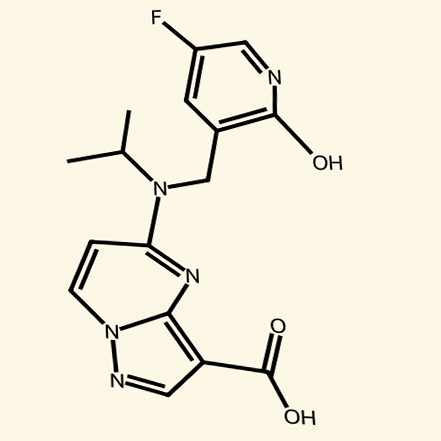 CC(C)N(Cc1cc(F)cnc1O)c1ccn2ncc(C(=O)O)c2n1